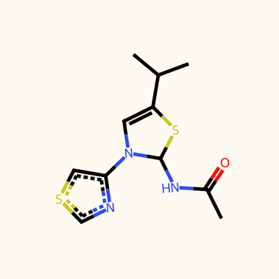 CC(=O)NC1SC(C(C)C)=CN1c1cscn1